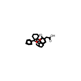 O=C(O)Cc1cccc(C2(CC3C4CCC3CN(Cc3ccccc3)C4)CCCCC2)c1O